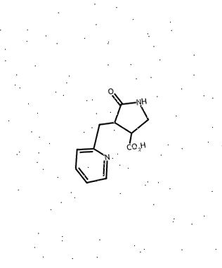 O=C(O)C1CNC(=O)C1Cc1ccccn1